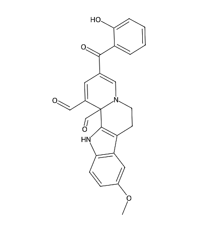 COc1ccc2[nH]c3c(c2c1)CCN1C=C(C(=O)c2ccccc2O)C=C(C=O)C31C=O